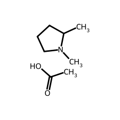 CC(=O)O.CC1CCCN1C